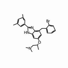 Cc1cc(C)cc(-c2nc3c(Cc4ccccc4Br)cc(OC(C)CN(C)C)cc3[nH]2)c1